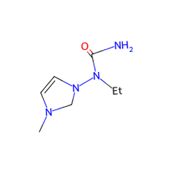 CCN(C(N)=O)N1C=CN(C)C1